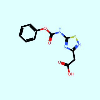 O=C(O)Cc1nsc(NC(=O)Oc2ccccc2)n1